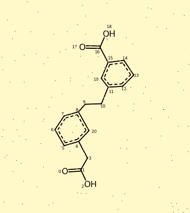 O=C(O)Cc1cccc(CCc2cccc(C(=O)O)c2)c1